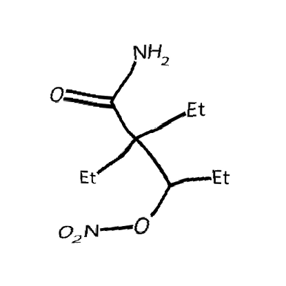 CCC(O[N+](=O)[O-])C(CC)(CC)C(N)=O